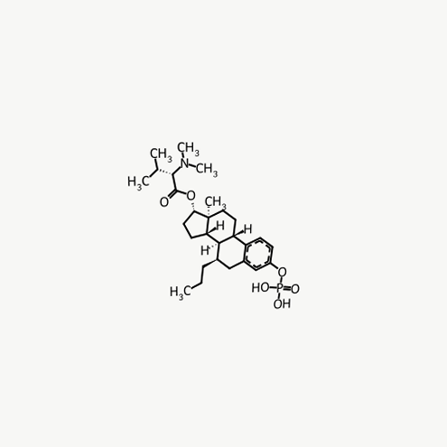 CCC[C@@H]1Cc2cc(OP(=O)(O)O)ccc2[C@H]2CC[C@]3(C)[C@@H](OC(=O)[C@H](C(C)C)N(C)C)CC[C@H]3[C@H]12